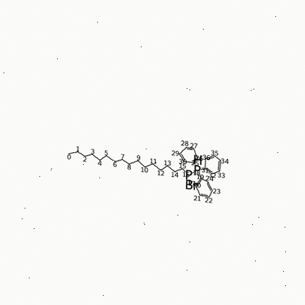 CCCCCCCCCCCCCCCCP(Br)[PH](c1ccccc1)(c1ccccc1)c1ccccc1